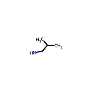 CC(C)C[NH]